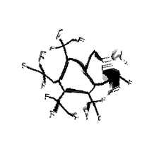 C=Cc1c(C(F)(F)F)c(C(F)(F)F)c(C(F)(F)F)c(C(F)(F)F)c1C(F)(F)F